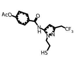 CC(=O)Oc1ccc(C(=O)Nc2cc(CC(F)(F)F)nn2CCS)cc1